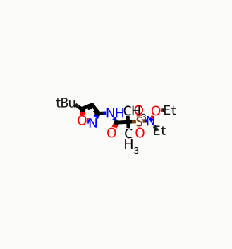 CCON(CC)S(=O)(=O)C(C)(C)C(=O)Nc1cc(C(C)(C)C)on1